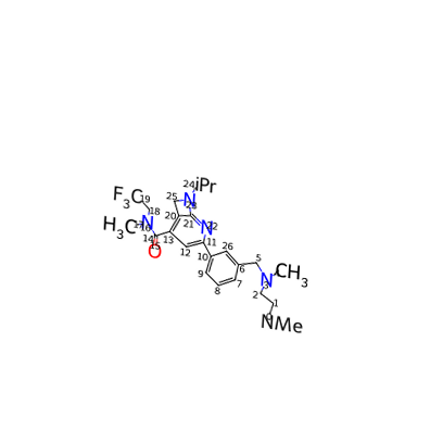 CNCCN(C)Cc1cccc(-c2cc(C(=O)N(C)CC(F)(F)F)c3c(n2)N(C(C)C)C3)c1